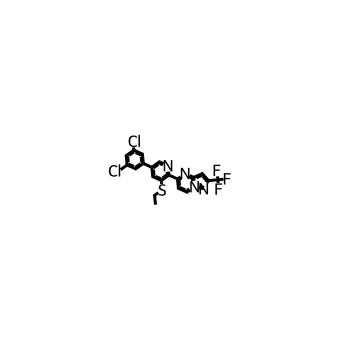 CCSc1cc(-c2cc(Cl)cc(Cl)c2)cnc1-c1ccn2nc(C(F)(F)F)cc2n1